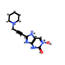 O=c1[nH]c2nc(C#CCN3CCCCC3)[nH]c2c[n+]1[O-]